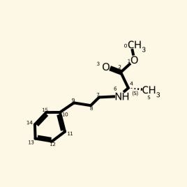 COC(=O)[C@H](C)NCCCc1ccccc1